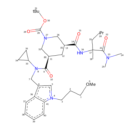 COCCCn1cc(CN(C(=O)[C@@H]2C[C@H](C(=O)NC(C)(CC(C)C)C(=O)N(C)C)CN(C(=O)OC(C)(C)C)C2)C2CC2)c2ccccc21